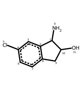 NC1c2cc(Cl)ccc2CC1O